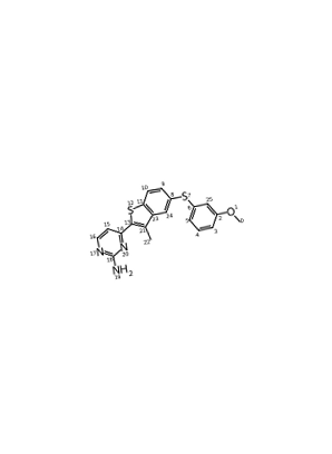 COc1cccc(Sc2ccc3sc(-c4ccnc(N)n4)c(C)c3c2)c1